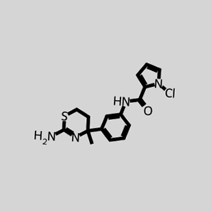 CC1(c2cccc(NC(=O)c3cccn3Cl)c2)CCSC(N)=N1